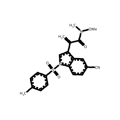 C=C(C(=O)N(C)OC)c1cn(S(=O)(=O)c2ccc(C)cc2)c2ccc(C#N)cc12